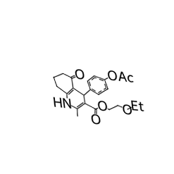 CCOCCOC(=O)C1=C(C)NC2=C(C(=O)CCC2)C1c1ccc(OC(C)=O)cc1